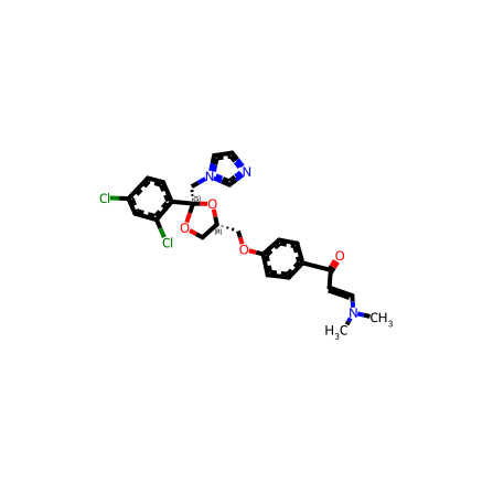 CN(C)C=CC(=O)c1ccc(OC[C@@H]2CO[C@@](Cn3ccnc3)(c3ccc(Cl)cc3Cl)O2)cc1